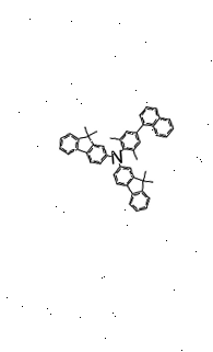 Cc1cc(-c2cccc3ccccc23)cc(C)c1N(c1ccc2c(c1)C(C)(C)c1ccccc1-2)c1ccc2c(c1)C(C)(C)c1ccccc1-2